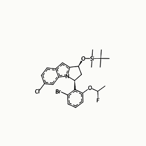 CC(F)Oc1cccc(Br)c1[C@@H]1C[C@H](O[Si](C)(C)C(C)(C)C)c2cc3ccc(Cl)cc3n21